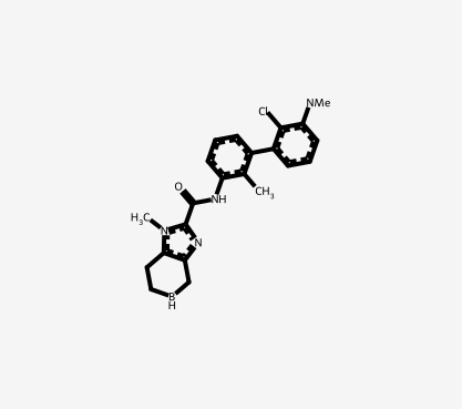 CNc1cccc(-c2cccc(NC(=O)c3nc4c(n3C)CCBC4)c2C)c1Cl